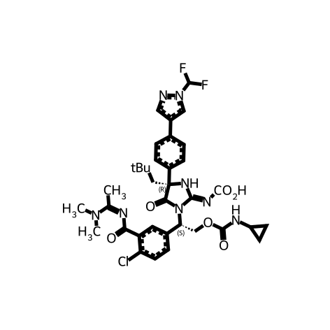 CC(=NC(=O)c1cc([C@@H](COC(=O)NC2CC2)N2C(=O)[C@@](CC(C)(C)C)(c3ccc(-c4cnn(C(F)F)c4)cc3)NC2=NC(=O)O)ccc1Cl)N(C)C